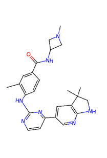 Cc1cc(C(=O)NC2CN(C)C2)ccc1Nc1nccc(-c2cnc3c(c2)C(C)(C)CN3)n1